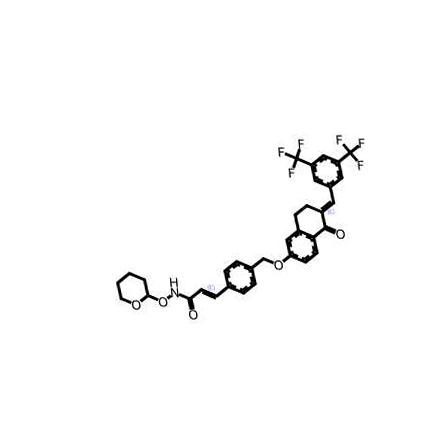 O=C(/C=C/c1ccc(COc2ccc3c(c2)CC/C(=C\c2cc(C(F)(F)F)cc(C(F)(F)F)c2)C3=O)cc1)NOC1CCCCO1